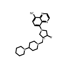 N#Cc1ccc(N2CC(F)[C@@H](CN3CCC(N4CCCCC4)CC3)C2)c2nccnc12